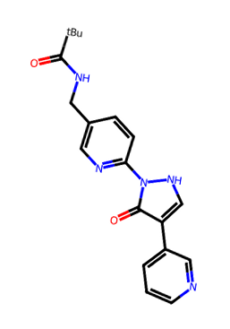 CC(C)(C)C(=O)NCc1ccc(-n2[nH]cc(-c3cccnc3)c2=O)nc1